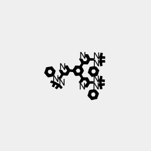 CC1(C)N=C(c2cncc(-c3cc(-c4cncc(C5=NC(C)(C)C(C)(C)N5c5ccccc5)c4)cc(-c4cncc(C5=NC(C)(C)C(C)(C)N5c5ccccc5)c4)c3)c2)N(c2ccccc2)C1(C)C